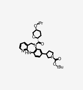 CC(C)O[C@H]1CC[C@H](C(=O)N2Cc3cccnc3Nc3ccc(C4CCN(C(=O)OC(C)(C)C)C4)cc32)OC1